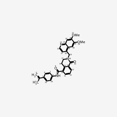 C=C(C)c1ccc(NC(=O)c2cccc3c2CCN(Cc2ccnc4cc(OC)c(OC)cc24)C3=O)cc1